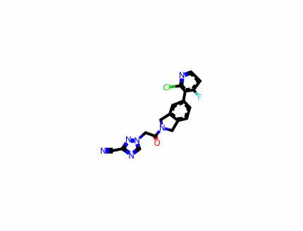 N#Cc1ncn(CC(=O)N2Cc3ccc(-c4c(F)ccnc4Cl)cc3C2)n1